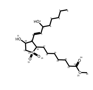 CCCCCC(O)/C=C/C1C(O)CS(=O)(=O)C1CCCCCCC(=O)OC